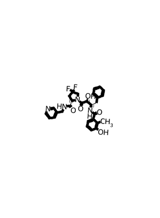 Cc1c(O)cccc1C(=O)N[C@@H](Cc1ccccc1)[C@H](O)C(=O)N1CC(F)(F)C[C@H]1C(=O)NCc1cccnc1